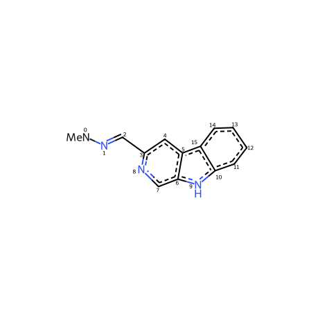 CN/N=C/c1cc2c(cn1)[nH]c1ccccc12